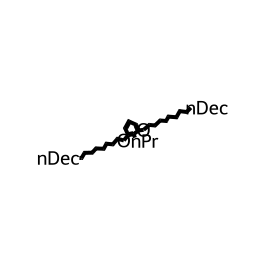 [CH2]CCc1c(OCCCCCCCCCCCCCCCCCC)cccc1OCCCCCCCCCCCCCCCCCC